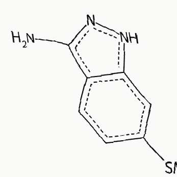 CSc1ccc2c(N)n[nH]c2c1